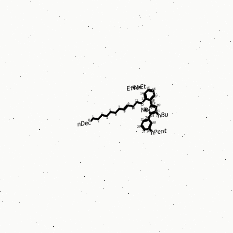 CCCCCCCCCCCCCCCCCC=CCCCc1ccccc1C1=CC(CCCC)=C(c2cccc(CCCCC)c2)[N+]1=[N-].C[CH2][Ni][CH2]C